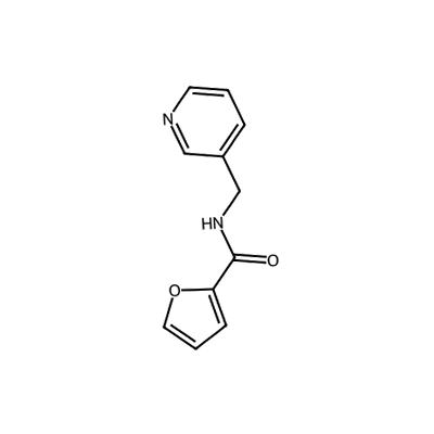 O=C(NCc1cccnc1)c1ccco1